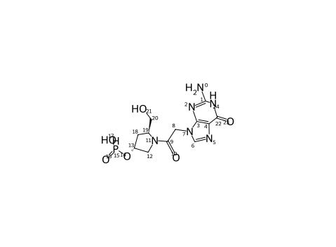 Nc1nc2c(ncn2CC(=O)N2C[C@H](O[PH](=O)O)C[C@H]2CO)c(=O)[nH]1